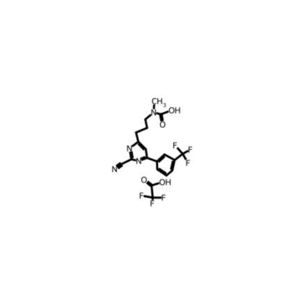 CN(CCCc1cc(-c2cccc(C(F)(F)F)c2)nc(C#N)n1)C(=O)O.O=C(O)C(F)(F)F